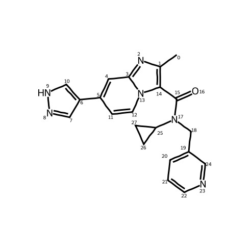 Cc1nc2cc(-c3cn[nH]c3)ccn2c1C(=O)N(Cc1cccnc1)C1CC1